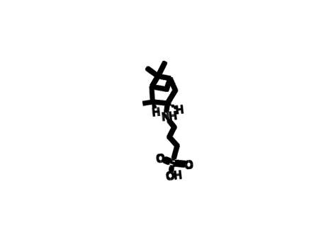 C[C@@H]1C2CC(C[C@H]1NCCCS(=O)(=O)O)C2(C)C